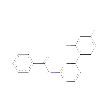 O=C(Nc1nccc(-c2ccc(F)cc2F)n1)c1ccccc1